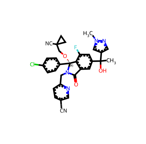 Cn1cc(C(C)(O)c2cc(F)c3c(c2)C(=O)N(Cc2ccc(C#N)cn2)[C@@]3(OCC2(C#N)CC2)c2ccc(Cl)cc2)cn1